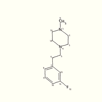 CN1CCN(C[CH]c2cccc(F)c2)CC1